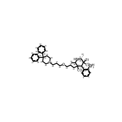 CCC1(C(=O)O)C(c2ccccc2C(F)(F)F)C(CCCOCCCN2CCC(c3ccccc3)(c3ccccc3)CC2)(C(=O)O)C(C)N[C@@H]1C